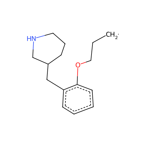 [CH2]CCOc1ccccc1CC1CCCNC1